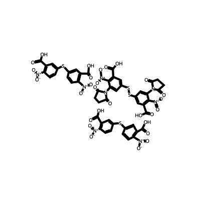 O=C(O)c1cc(SSc2cc(C(=O)O)c([N+](=O)[O-])c(N3C(=O)CCC3=O)c2)cc(N2C(=O)CCC2=O)c1[N+](=O)[O-].O=C(O)c1cc(Sc2ccc([N+](=O)[O-])c(C(=O)O)c2)ccc1[N+](=O)[O-].O=C(O)c1cc(Sc2ccc([N+](=O)[O-])c(C(=O)O)c2)ccc1[N+](=O)[O-]